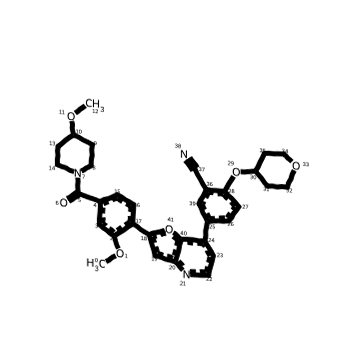 COc1cc(C(=O)N2CCC(OC)CC2)ccc1-c1cc2nccc(-c3ccc(OC4CCOCC4)c(C#N)c3)c2o1